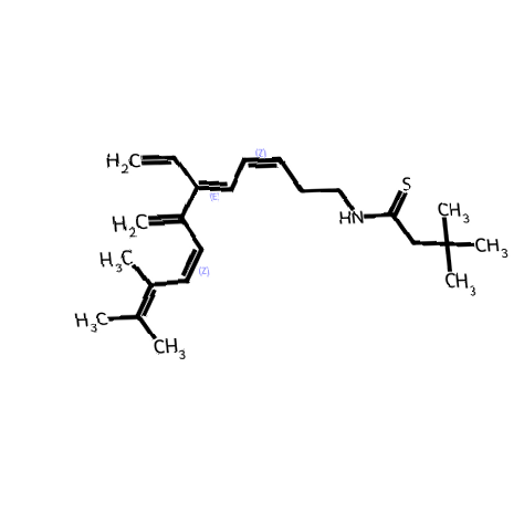 C=C/C(=C\C=C/CCNC(=S)CC(C)(C)C)C(=C)/C=C\C(C)=C(C)C